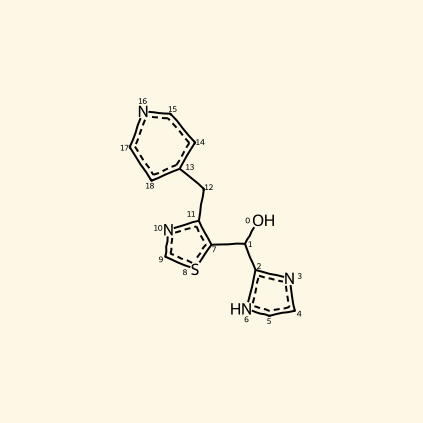 OC(c1ncc[nH]1)c1scnc1Cc1ccncc1